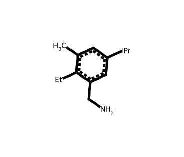 CCc1c(C)cc(C(C)C)cc1CN